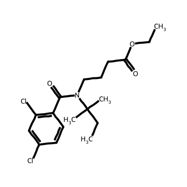 CCOC(=O)CCCN(C(=O)c1ccc(Cl)cc1Cl)C(C)(C)CC